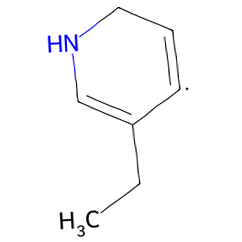 CCC1=CNCC=[C]1